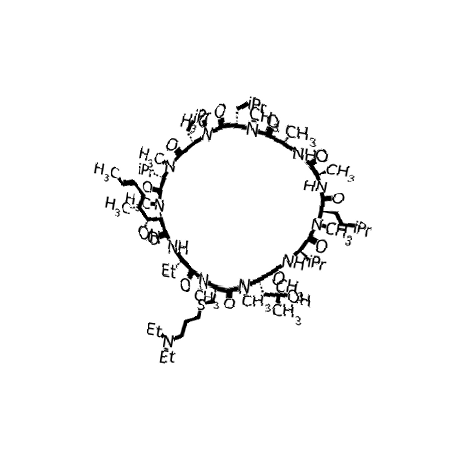 C/C=C/C[C@@H](C)[C@@H](O)[C@H]1C(=O)N[C@@H](CC)C(=O)N(C)[C@H](CSCCCN(CC)CC)C(=O)N(C)[C@@H](CC(C)(C)O)C(=O)N[C@H](C(C)C)C(=O)N(C)[C@H](CCC(C)C)C(=O)N[C@H](C)C(=O)N[C@@H](C)C(=O)N(C)[C@@H](CC(C)C)C(=O)N(C)[C@@H](CC(C)C)C(=O)N(C)[C@@H](C(C)C)C(=O)N1C